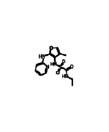 CCNC(=O)S(=O)(=O)Nc1c(C)coc1Nc1ccccn1